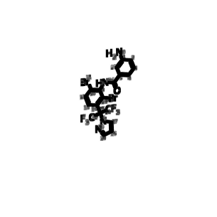 Nc1cccc(C(=O)Nc2c(Br)ccc(C(n3cccn3)(C(F)(F)F)C(F)(F)F)c2Br)c1